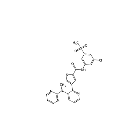 CN(c1ncccn1)c1cccnc1-c1csc(C(=O)Nc2cc(Cl)cc(S(C)(=O)=O)c2)c1